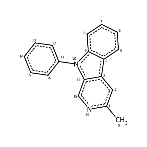 Cc1cc2c3ccccc3n(-c3ccccc3)c2cn1